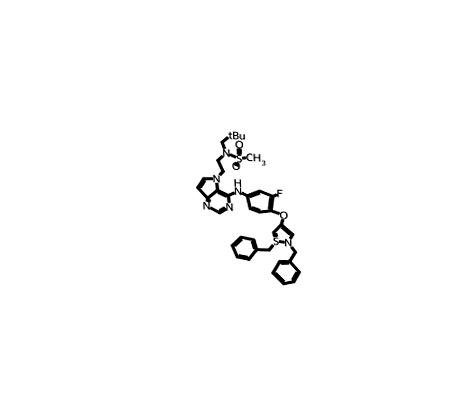 CC(C)(C)CN(CCn1ccc2ncnc(Nc3ccc(OC4=CN(Cc5ccccc5)S(Cc5ccccc5)=C4)c(F)c3)c21)S(C)(=O)=O